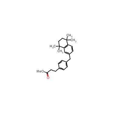 COC(=O)CCc1ccc(Cc2ccc3c(c2)C(C)(C)CCC3(C)C)cc1